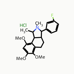 COc1cc(OC)c2c(c1OC)CCC1C2C(C)N(C)C1c1cccc(F)c1.Cl